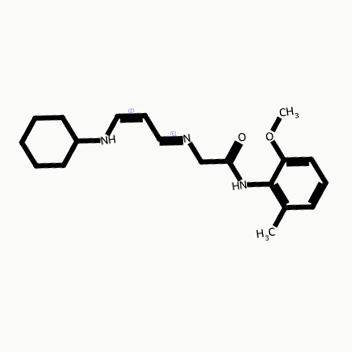 COc1cccc(C)c1NC(=O)C/N=C/C=C\NC1CCCCC1